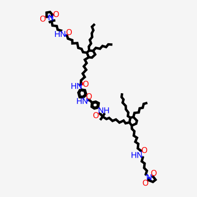 CCCCCCCCC1C(CCCCCC)CCC(CCCCCCCC(=O)Nc2ccc3c(c2)OC(c2ccc(NC(=O)C(C)(C)CCCCCCCC4C(CCCCCCCC(=O)NCCCCCCN5C(=O)CCC5=O)CCC(CCCCCC)C4CCCCCCCC)cc2)N3)C1CCCCCCCC(=O)NCCCCC(C)(C)N1C(=O)CCC1=O